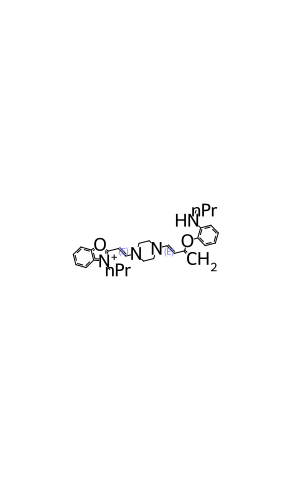 C=C(/C=C/N1CCN(/C=C/c2oc3ccccc3[n+]2CCC)CC1)Oc1ccccc1NCCC